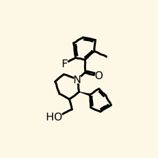 Cc1cccc(F)c1C(=O)N1CCCC(CO)[C@@H]1c1ccccc1